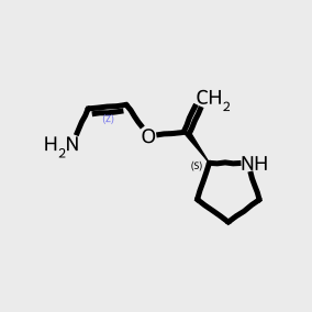 C=C(O/C=C\N)[C@@H]1CCCN1